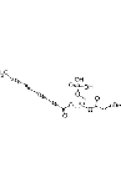 CC#CC#CC#CC#CC(=O)OC[C@H](COP(=O)(O)O)OC(=O)CCCCCCCCCCC